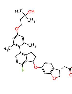 Cc1cc(OCCC(C)(C)O)cc(C)c1-c1ccc(F)c2c1CCC2Oc1ccc2c(c1)OC[C@H]2CC(=O)O